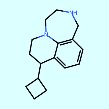 c1cc2c3c(c1)C(C1CCC1)CCN3CCNC2